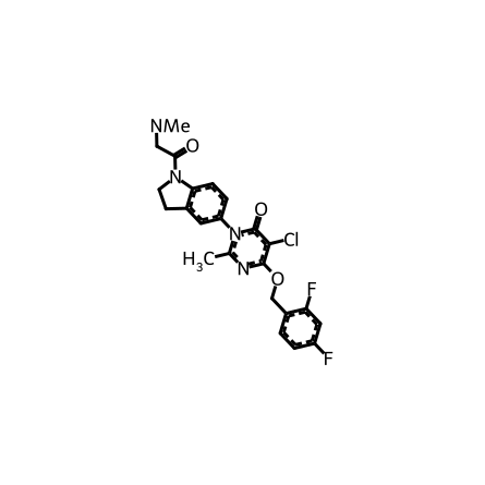 CNCC(=O)N1CCc2cc(-n3c(C)nc(OCc4ccc(F)cc4F)c(Cl)c3=O)ccc21